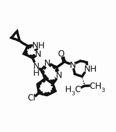 CC(C)[C@@H]1CN(C(=O)c2nc(Nc3cc(C4CC4)[nH]n3)c3cc(Cl)ccc3n2)CCN1